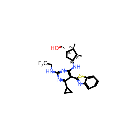 C[C@@H]1[C@@H](CO)C[C@@H](Nc2nc(NCC(F)(F)F)nc(C3CC3)c2-c2nc3ccccc3s2)[C@@H]1C